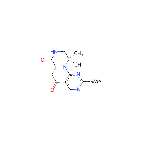 CSc1ncc2c(n1)N1C(CC2=O)C(=O)NCC1(C)C